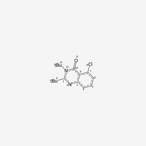 CC(C)(C)c1nc2cccc(Cl)c2c(=O)n1C(C)(C)C